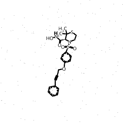 CC1(C)SCCN(S(=O)(=O)c2ccc(OCC#Cc3ccccc3)cc2)[C@H]1C(=O)NO